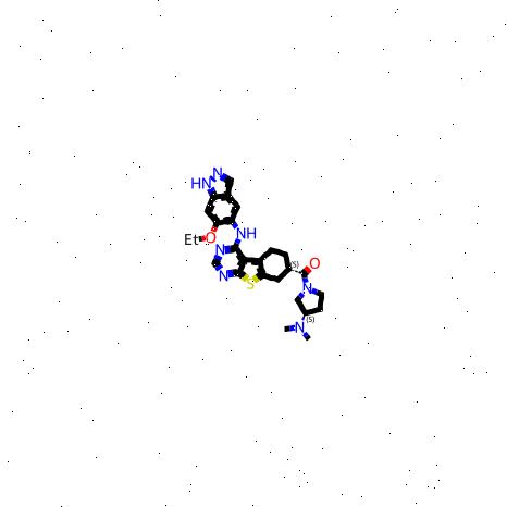 CCOc1cc2[nH]ncc2cc1Nc1ncnc2sc3c(c12)CC[C@H](C(=O)N1CC[C@H](N(C)C)C1)C3